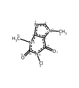 Cn1cnc2c1c(=O)n(Cl)c(=O)n2C